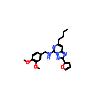 CCCCc1cc2nc(-c3ccco3)nn2c(NCc2ccc(OC)c(OC)c2)n1